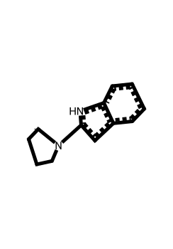 [CH]1CCCN1c1cc2ccccc2[nH]1